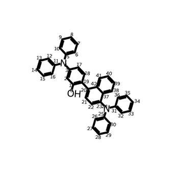 Oc1cc(N(c2ccccc2)c2ccccc2)ccc1-c1ccc(N(c2ccccc2)c2ccccc2)c2ccccc12